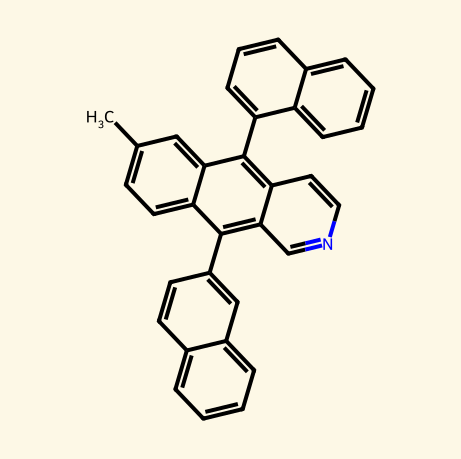 Cc1ccc2c(-c3ccc4ccccc4c3)c3cnccc3c(-c3cccc4ccccc34)c2c1